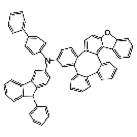 c1ccc(-c2ccc(N(c3ccc4c(c3)-c3ccccc3-c3ccccc3-c3c-4ccc4oc5ccccc5c34)c3ccc4c(c3)-c3ccccc3C4c3ccccc3)cc2)cc1